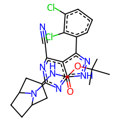 CC(C)(C)OC(=O)NC1CC2CCC(C1)N2c1nc(C#N)c2c(-c3cccc(Cl)c3Cl)n[nH]c2n1